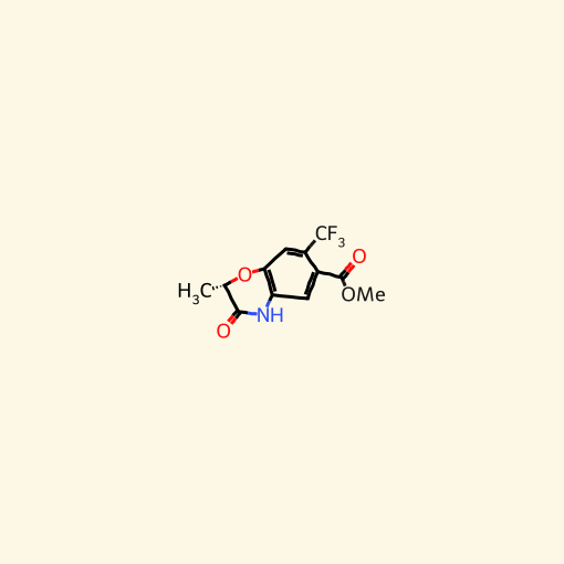 COC(=O)c1cc2c(cc1C(F)(F)F)O[C@@H](C)C(=O)N2